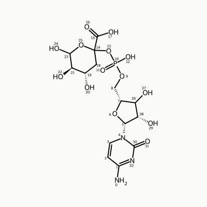 Nc1ccn([C@@H]2O[C@H](COP(=O)(O)OC3(C(=O)O)C[C@H](O)[C@@H](O)C(O)O3)C(O)[C@@H]2O)c(=O)n1